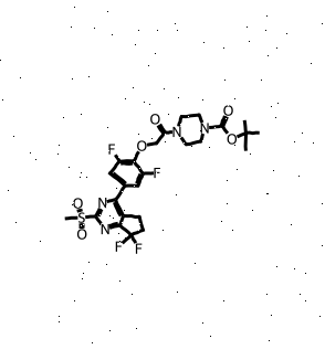 CC(C)(C)OC(=O)N1CCN(C(=O)COc2c(F)cc(-c3nc(S(C)(=O)=O)nc4c3CCC4(F)F)cc2F)CC1